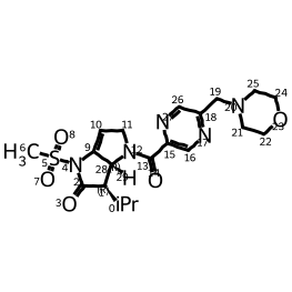 CC(C)[C@H]1C(=O)N(S(C)(=O)=O)C2=CCN(C(=O)c3cnc(CN4CCOCC4)cn3)[C@@H]21